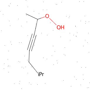 CC(C)CC#CC(C)OO